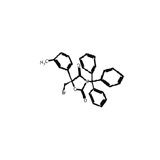 Cc1cccc([C@@]2(CBr)OC(=O)N(C(c3ccccc3)(c3ccccc3)c3ccccc3)C2=O)c1